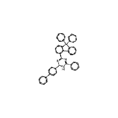 c1ccc(C2=NC(c3cccc4c3-c3ccccc3C4(c3ccccc3)c3ccccc3)=NC(c3ccc(-c4ccccc4)cc3)N2)cc1